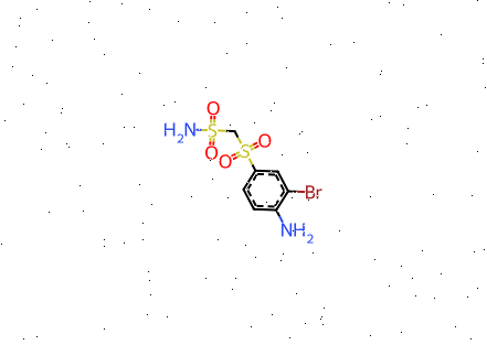 Nc1ccc(S(=O)(=O)CS(N)(=O)=O)cc1Br